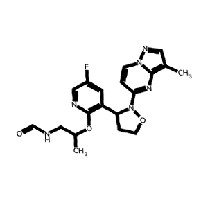 Cc1cnn2ccc(N3OCCC3c3cc(F)cnc3OC(C)CNC=O)nc12